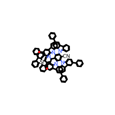 N#Cc1c(-n2c3ccccc3c3cc(-c4ccccc4)ccc32)c(-n2c3ccccc3c3cc(-c4ccccc4)ccc32)c(-c2cc3c(cn2)[Si]2(c4ccccc4-c4ccccc42)c2ccccc2-3)c(-n2c3ccccc3c3cc(-c4ccccc4)ccc32)c1-n1c2ccccc2c2cc(-c3ccccc3)ccc21